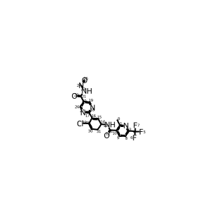 Cc1nc(C(F)(F)F)ccc1C(=O)NC1C=C(c2ncc(C(=O)NN=O)cn2)C(Cl)=CC1